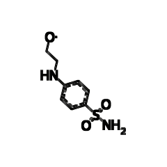 NS(=O)(=O)c1ccc(NCC[O])cc1